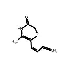 C=C/C=C\C1=C(C)NC(=O)CO1